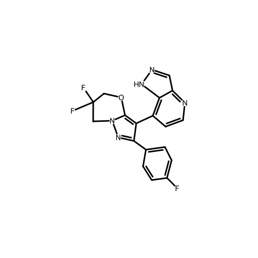 Fc1ccc(-c2nn3c(c2-c2ccnc4cn[nH]c24)OCC(F)(F)C3)cc1